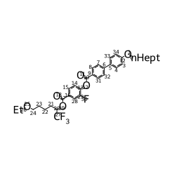 CCCCCCCOc1ccc(-c2ccc(C(=O)Oc3ccc(C(=O)OC(CCCCOCC)C(F)(F)F)cc3F)cc2)cc1